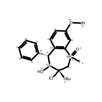 CCCC[C@]1(CC)C[SH](=O)(I)c2cc(OC(C)C)ccc2[C@@H](c2ccccc2)N1O